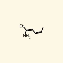 C/C=C\C=C(/N)CC